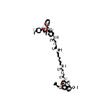 Cc1cnc(C(C)C)n1C1CC2CCC(C1)N2CC[C@H](NC(=O)C1CCC(F)(F)CC1)c1ccc(NC(=O)COCC(=O)NCCCCCCCNC(=O)COCC(=O)N[C@@H]2CC[C@@]3(O)[C@H]4Cc5ccc(O)c6c5[C@@]3(CCN4CC3CC3)[C@H]2O6)cc1